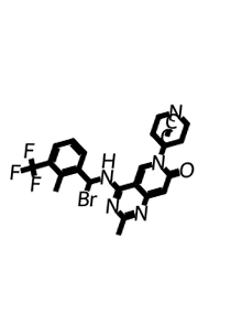 Cc1nc(NC(Br)c2cccc(C(F)(F)F)c2C)c2cn(C34CCN(CC3)CC4)c(=O)cc2n1